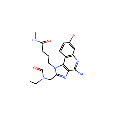 CCN(C=O)Cc1nc2c(N)nc3cc(Br)ccc3c2n1CCCC(=O)NC